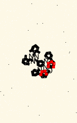 Cc1cccc(C)c1-c1nc(-c2cc(-n3c4ccccc4c4ccccc43)c(N3c4ccccc4Oc4ccccc43)c(-n3c4ccccc4c4ccccc43)c2)nc(-c2c(C)cccc2C)n1